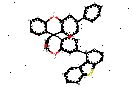 c1ccc(-c2ccc3c(c2)Oc2ccccc2C32c3ccccc3Oc3cc(-c4cccc5sc6ccccc6c45)ccc32)cc1